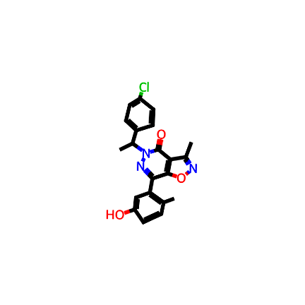 Cc1ccc(O)cc1-c1nn(C(C)c2ccc(Cl)cc2)c(=O)c2c(C)noc12